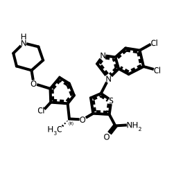 C[C@@H](Oc1cc(-n2cnc3cc(Cl)c(Cl)cc32)sc1C(N)=O)c1cccc(OC2CCNCC2)c1Cl